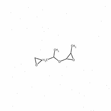 C1CO1.CC(C)OC1OC1C